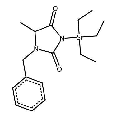 CC[Si](CC)(CC)N1C(=O)C(C)N(Cc2ccccc2)C1=O